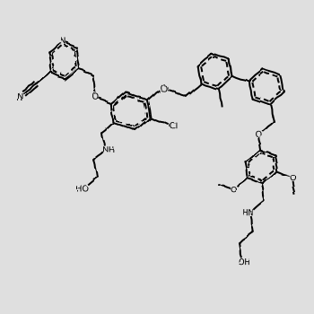 COc1cc(OCc2cccc(-c3cccc(COc4cc(OCc5cncc(C#N)c5)c(CNCCO)cc4Cl)c3C)c2)cc(OC)c1CNCCO